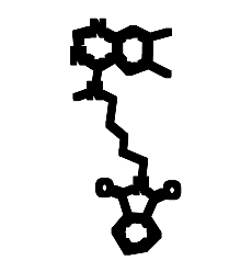 Cc1cc2ncnc(N(C)CCCCCN3C(=O)c4ccccc4C3=O)c2cc1C